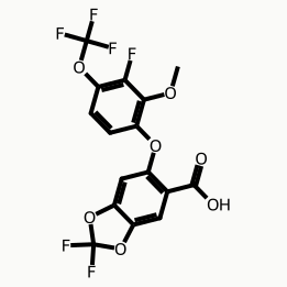 COc1c(Oc2cc3c(cc2C(=O)O)OC(F)(F)O3)ccc(OC(F)(F)F)c1F